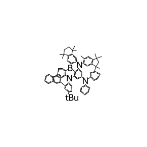 Cc1cc2c(cc1N1c3cc4c(cc3B3c5ccc(-c6ccccc6)cc5N(c5ccc(C(C)(C)C)cc5-c5ccccc5)c5cc(N(c6ccccc6)c6ccccc6)cc1c53)C(C)(C)CCC4(C)C)C(C)(C)CC2(C)C